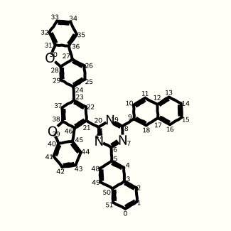 c1ccc2cc(-c3nc(-c4ccc5ccccc5c4)nc(-c4cc(-c5ccc6c(c5)oc5ccccc56)cc5oc6ccccc6c45)n3)ccc2c1